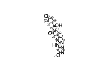 COc1cc(Nc2nccc(-c3ccn(C[C@@H](O)c4ccc(Cl)c(F)c4)c(=O)c3)n2)ncn1